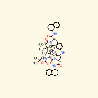 C[C@H](C(=O)N1Cc2cc(NC3C[C@@H](C(=O)NC4CCCc5ccccc54)N(C(=O)[C@@H](NC(=O)OC(C)(C)C)C(C)(C)C)C3)ccc2C[C@H]1C(=O)NC1CCCc2ccccc21)C(C)(C)C